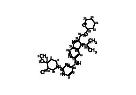 COC1CCN(c2nccc(Nc3cc4c(cn3)nc(COC3CCCCO3)n4C(C)C)n2)CC1Cl